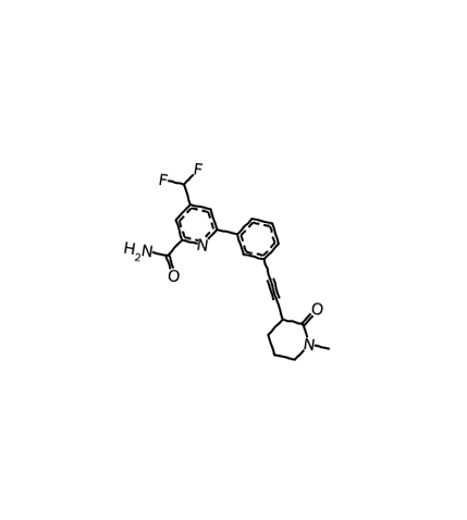 CN1CCCC(C#Cc2cccc(-c3cc(C(F)F)cc(C(N)=O)n3)c2)C1=O